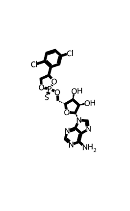 Nc1ncnc2c1ncn2[C@@H]1O[C@H](COP2(=S)OCC(c3cc(Cl)ccc3Cl)O2)[C@@H](O)[C@H]1O